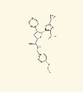 CCSc1ccc(CNC(=O)N2CC(c3ccccc3)C(c3cc(C4CC4)nn3C(C)C)C2)cc1